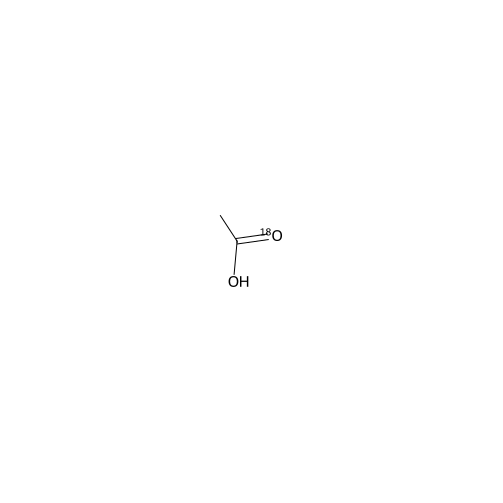 CC(O)=[18O]